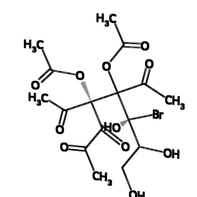 CC(=O)OC(C(C)=O)([C@](OC(C)=O)(C(C)=O)C(=O)C(C)=O)[C@@](O)(Br)C(O)CO